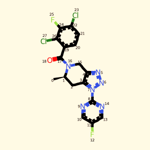 C[C@@H]1Cc2c(nnn2-c2ncc(F)cn2)CN1C(=O)c1ccc(Cl)c(F)c1Cl